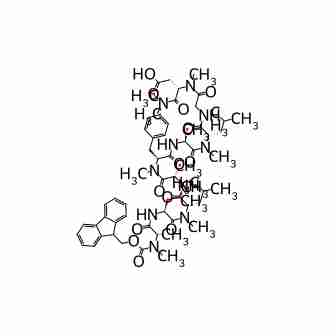 CC(C)C[C@H](NC(=O)[C@H](C)N(C)C(=O)OCC1c2ccccc2-c2ccccc21)C(=O)N(C)[C@@H](CC(C)C)C(=O)N[C@@H](C)C(=O)N(C)[C@@H](Cc1ccccc1)C(=O)N[C@@H](C)C(=O)N(C)[C@@H](CC(C)C)C(=O)NCC(=O)N(C)[C@@H](CC(=O)O)C(=O)N(C)C